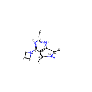 Cc1nc2c(c(N3CCC3)n1)C(C)NC2C